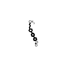 CCCCCC1CCC(c2ccc(-c3ccc(OC=O)cc3)cc2)CC1